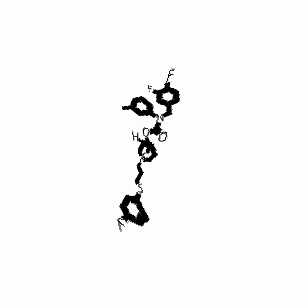 Cc1cccc(N(Cc2ccc(F)c(F)c2)C(=O)O[C@H]2C[N+]3(CCCSc4ccc(F)cc4)CCC2CC3)c1